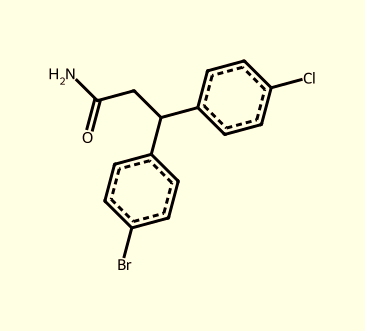 NC(=O)CC(c1ccc(Cl)cc1)c1ccc(Br)cc1